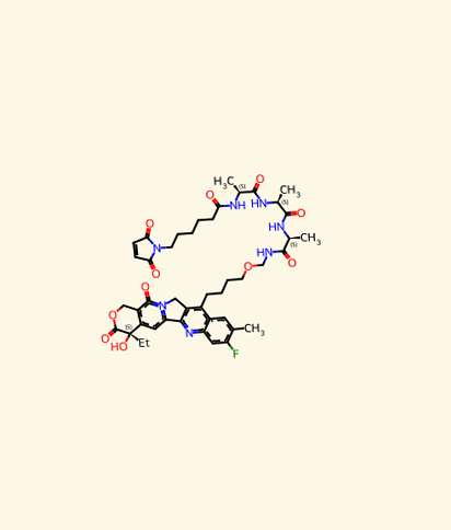 CC[C@@]1(O)C(=O)OCc2c1cc1n(c2=O)Cc2c-1nc1cc(F)c(C)cc1c2CCCCOCNC(=O)[C@H](C)NC(=O)[C@H](C)NC(=O)[C@H](C)NC(=O)CCCCCN1C(=O)C=CC1=O